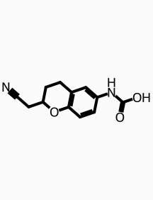 N#CCC1CCc2cc(NC(=O)O)ccc2O1